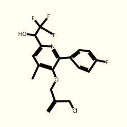 C=C(CCl)COc1c(C)cc(C(O)C(F)(F)F)nc1-c1ccc(F)cc1